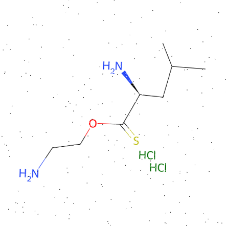 CC(C)C[C@H](N)C(=S)OCCN.Cl.Cl